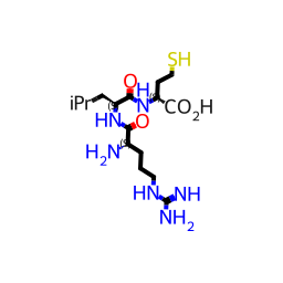 CC(C)C[C@H](NC(=O)[C@@H](N)CCCNC(=N)N)C(=O)N[C@@H](CCS)C(=O)O